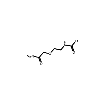 CCC(=O)NCCOCC(=O)NC